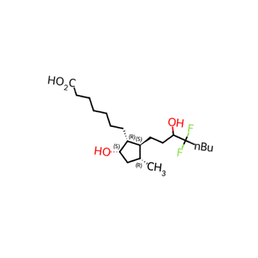 CCCCC(F)(F)C(O)CC[C@@H]1[C@@H](CCCCCCC(=O)O)[C@@H](O)C[C@H]1C